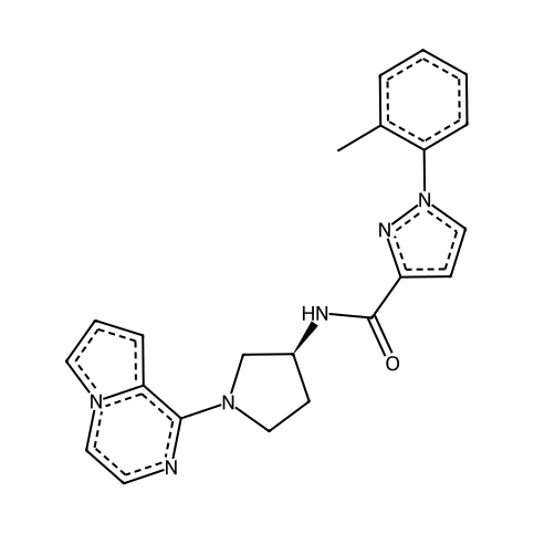 Cc1ccccc1-n1ccc(C(=O)N[C@H]2CCN(c3nccn4cccc34)C2)n1